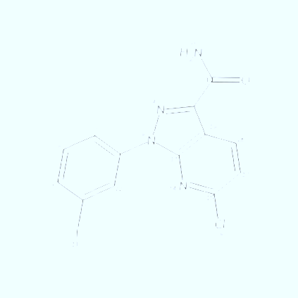 NC(=O)c1nn(-c2cccc(I)c2)c2nc(Cl)ccc12